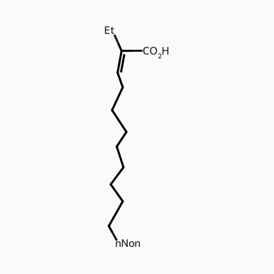 CCCCCCCCCCCCCCCCCC=C(CC)C(=O)O